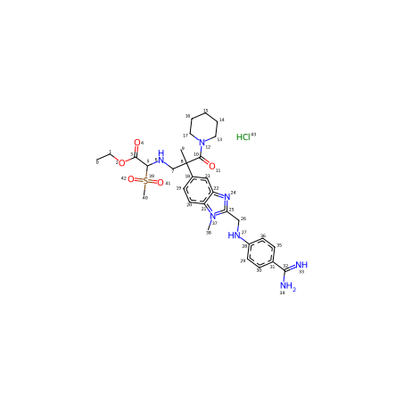 CCOC(=O)C(NCC(C)(C(=O)N1CCCCC1)c1ccc2c(c1)nc(CNc1ccc(C(=N)N)cc1)n2C)S(C)(=O)=O.Cl